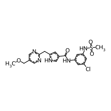 COCc1cnc(Cc2cc(C(=O)Nc3cc(Cl)cc(NS(C)(=O)=O)c3)c[nH]2)nc1